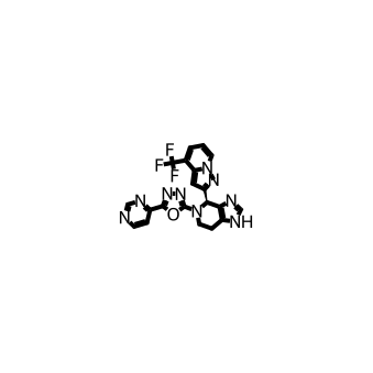 FC(F)(F)c1cccn2nc([C@H]3c4nc[nH]c4CCN3c3nnc(-c4ccncn4)o3)cc12